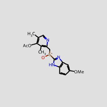 COc1ccc2[nH]c([S+]([O-])Cc3ncc(C)c(OC(C)=O)c3C)nc2c1